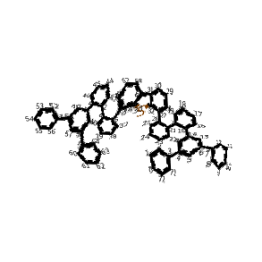 c1ccc(-c2cc(-c3ccccc3)cc(-c3ccccc3-c3ccccc3-c3cccc4c3sc3c(-c5ccccc5-c5ccccc5-c5cc(-c6ccccc6)cc(-c6ccccc6)c5)cccc34)c2)cc1